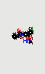 CC(C)(C)NC(=O)OCC1(c2cccc(Cl)c2)CCC(N2CC(=O)NC(Cc3ccccc3)C2=O)CC1